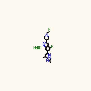 Cc1cn2nc(-c3cc(F)c4cc(C5CCN(CCF)CC5)nnc4c3)cc(C)c2n1.Cl.Cl